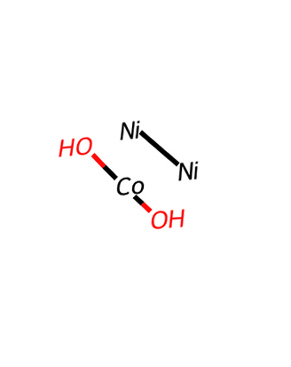 [Ni][Ni].[OH][Co][OH]